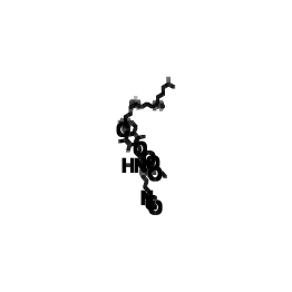 CCOC(=O)[C@H](CCCCN=C=O)NC(=O)COc1c(C)c(C)c2c(c1C)CC[C@@](C)(CCC[C@H](C)CCC[C@H](C)CCCC(C)C)O2